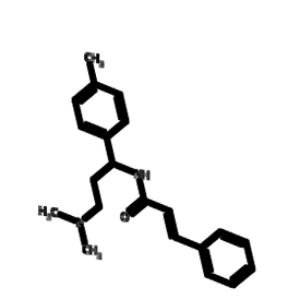 Cc1ccc(C(CCN(C)C)NC(=O)/C=C/c2ccccc2)cc1